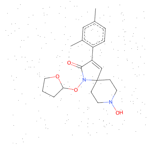 Cc1ccc(C2=CC3(CCN(O)CC3)N(OC3CCCO3)C2=O)c(C)c1